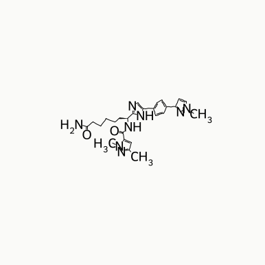 Cc1cc(C(=O)N[C@@H](CCCCCC(N)=O)c2ncc(-c3ccc(-c4ccn(C)n4)cc3)[nH]2)n(C)n1